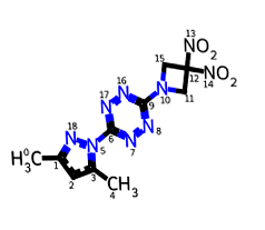 Cc1cc(C)n(-c2nnc(N3CC([N+](=O)[O-])([N+](=O)[O-])C3)nn2)n1